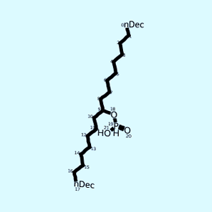 CCCCCCCCCCCCCCCCCCC(CCCCCCCCCCCCCCCCC)O[PH](=O)O